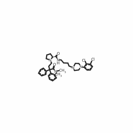 CN(C)C(=O)C(CCN1CCC[C@H]1C(=O)NCCCCN1CCN(c2cccc(Cl)c2Cl)CC1)(c1ccccc1)c1ccccc1